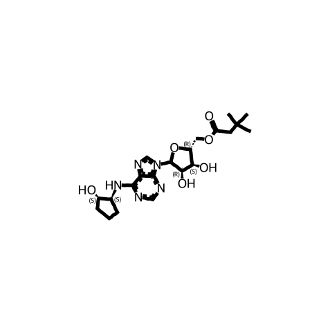 CC(C)(C)CC(=O)OC[C@H]1OC(n2cnc3c(N[C@H]4CCC[C@@H]4O)ncnc32)[C@H](O)[C@@H]1O